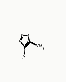 Nc1snnc1[S]